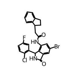 O=C(CC1CCc2ccccc21)Nc1cc(Br)cc2c1C(c1cc(F)ccc1Cl)NC2=O